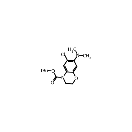 CN(C)c1cc2c(cc1Cl)N(C(=O)OC(C)(C)C)CCO2